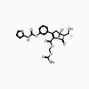 C[C@@H](O)[C@H]1C(=O)N2C(C(=O)OCOC(=O)C(C)(C)C)=C(c3cccc(OC(=O)Nc4cccs4)c3)C[C@H]12